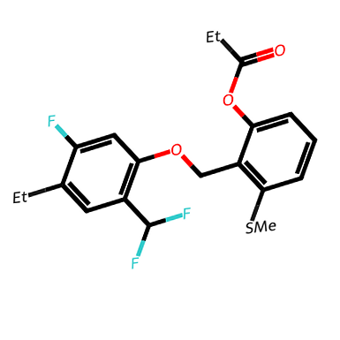 CCC(=O)Oc1cccc(SC)c1COc1cc(F)c(CC)cc1C(F)F